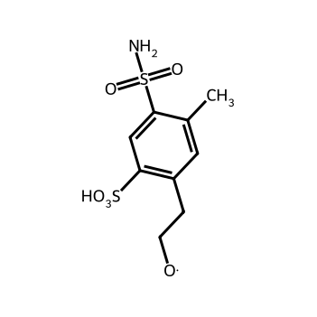 Cc1cc(CC[O])c(S(=O)(=O)O)cc1S(N)(=O)=O